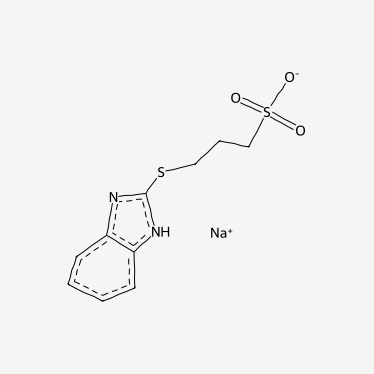 O=S(=O)([O-])CCCSc1nc2ccccc2[nH]1.[Na+]